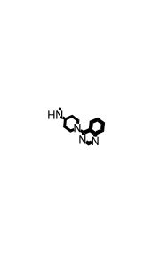 CNC1CCN(c2ncnc3ccccc23)CC1